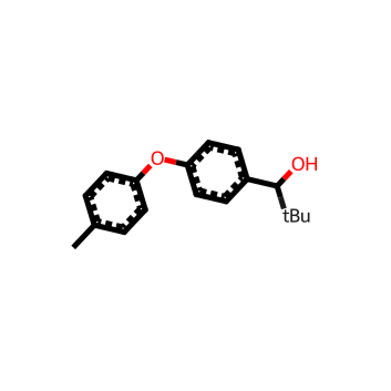 Cc1ccc(Oc2ccc(C(O)C(C)(C)C)cc2)cc1